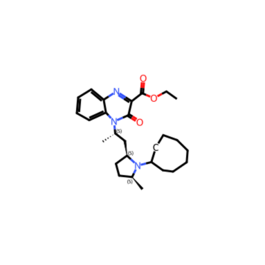 CCOC(=O)c1nc2ccccc2n([C@@H](C)C[C@@H]2CC[C@H](C)N2C2CCCCCCC2)c1=O